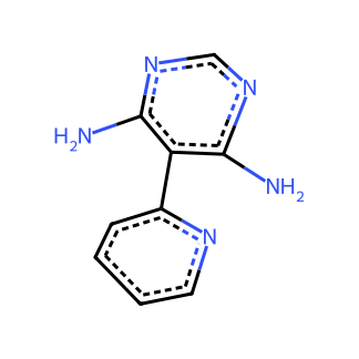 Nc1ncnc(N)c1-c1ccccn1